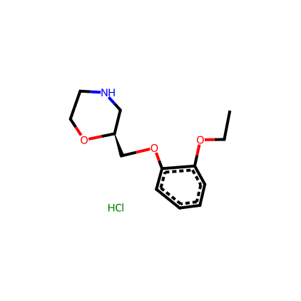 CCOc1ccccc1OC[C@@H]1CNCCO1.Cl